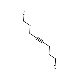 ClCCCC#CCCCCl